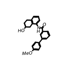 COc1ccc(-c2cccc(C(=O)Nc3cccc4c3CC(O)CC4)c2)cc1